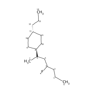 CC[CH]C(F)CC(C)[C@H]1CC[C@H](CCC)CC1